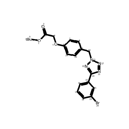 CC(C)(C)OC(=O)COc1ccc(Cn2nnc(-c3cccc(Br)c3)n2)cc1